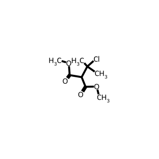 COC(=O)C(C(=O)OC)C(C)(C)Cl